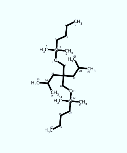 CCCC[Si](C)(C)OCC(CO[Si](C)(C)CCCC)(CC(C)C)CC(C)C